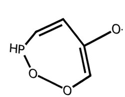 [O]c1cc[pH]ooc1